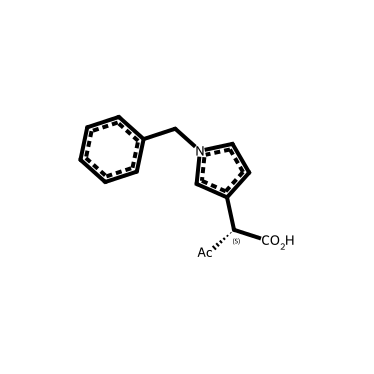 CC(=O)[C@@H](C(=O)O)c1ccn(Cc2ccccc2)c1